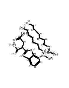 CCCNOCCCCCCC(C)C.CCCNOCCCCCCC(C)C.OC(=S)CC(C(O)=S)c1nc2ccccc2s1